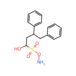 NOS(=O)(=O)C(O)CC(Cc1ccccc1)c1ccccc1